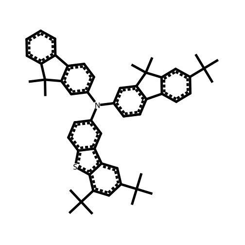 CC(C)(C)c1ccc2c(c1)C(C)(C)c1cc(N(c3ccc4c(c3)C(C)(C)c3ccccc3-4)c3ccc4sc5c(C(C)(C)C)cc(C(C)(C)C)cc5c4c3)ccc1-2